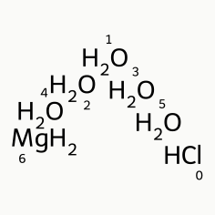 Cl.O.O.O.O.O.[MgH2]